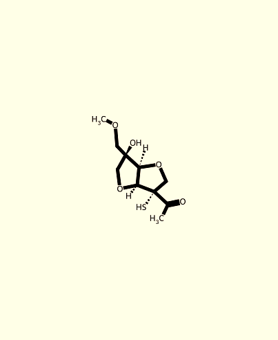 COC[C@@]1(O)CO[C@H]2[C@@H]1OC[C@@]2(S)C(C)=O